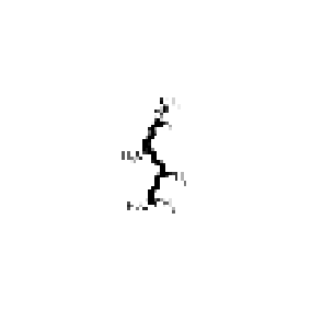 CCOC(=O)C=CC=C(C)CCCC(C)CCCC(C)C